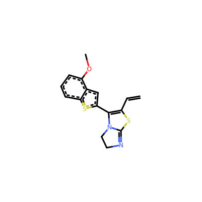 C=CC1=C(c2cc3c(OC)cccc3s2)N2CCN=C2S1